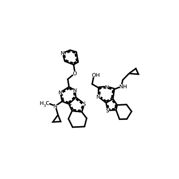 CN(c1nc(COc2cccnc2)nc2sc3c(c12)CCCC3)C1CC1.OCc1nc(NCC2CC2)c2c3c(sc2n1)CCCC3